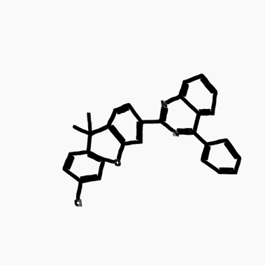 CC1(C)c2ccc(Cl)cc2Oc2cc(-c3nc(-c4ccccc4)c4ccccc4n3)ccc21